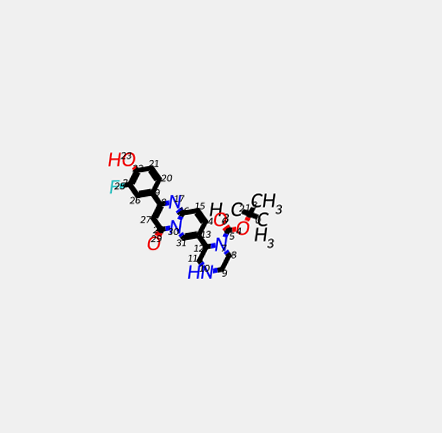 CC(C)(C)OC(=O)N1CCNCC1c1ccc2nc(-c3ccc(O)c(F)c3)cc(=O)n2c1